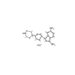 Cl.Nc1ncc2c(N)nn(-c3ccc(N4CCNCC4)cn3)c2n1